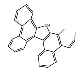 C/C=C\c1c(C)c2[nH]c3c4ccccc4c4ccccc4c3c2c2ccccc12